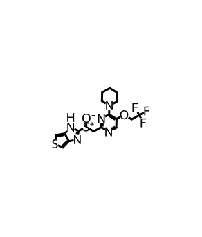 [O-][S+](Cc1ncc(OCC(F)(F)F)c(N2CCCCC2)n1)c1nc2cscc2[nH]1